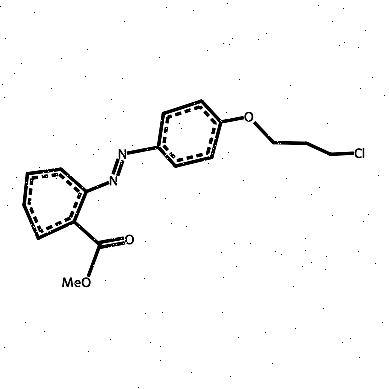 COC(=O)c1ccccc1N=Nc1ccc(OCCCCl)cc1